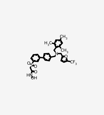 Cc1cc(C)c(CN(Cc2ccc(-c3cccc(S(=O)(=O)CC(=O)NO)c3)cc2)Cc2ccc(C(F)(F)F)o2)c(C)c1